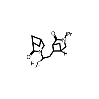 CC(C)N1C[C@H]2CC(C1=O)C2CC(C)N1CC2CC(C2)C1=O